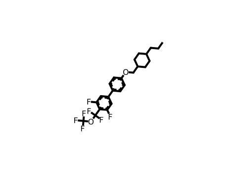 CCCC1CCC(COc2ccc(-c3cc(F)c(C(F)(F)OC(F)(F)F)c(F)c3)cc2)CC1